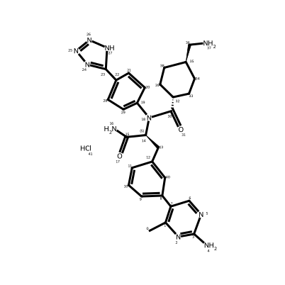 Cc1nc(N)ncc1-c1cccc(C[C@@H](C(N)=O)N(c2ccc(-c3nnn[nH]3)cc2)C(=O)[C@H]2CC[C@H](CN)CC2)c1.Cl